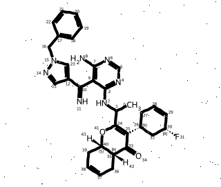 CC(Nc1ncnc(N)c1C(=N)c1cnn(Cc2ccccc2)c1)C1=C([C@@H]2CC=C[C@H](F)C2)C(=O)[C@@H]2CC=CC[C@@H]2O1